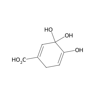 O=C(O)C1=CC(O)(O)C(O)=CC1